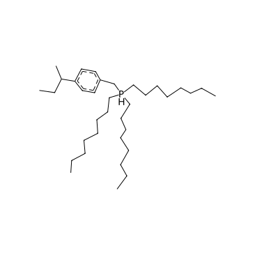 CCCCCCCC[PH](CCCCCCCC)(CCCCCCCC)Cc1ccc(C(C)CC)cc1